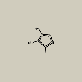 CCCCc1c(C)nnn1CCC